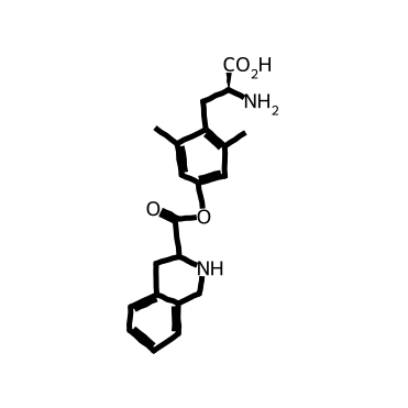 Cc1cc(OC(=O)C2Cc3ccccc3CN2)cc(C)c1C[C@H](N)C(=O)O